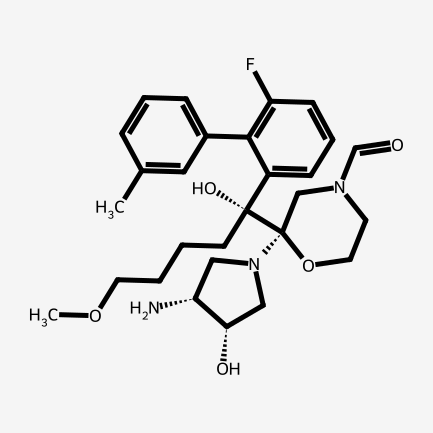 COCCCC[C@@](O)(c1cccc(F)c1-c1cccc(C)c1)[C@@]1(N2C[C@@H](N)[C@@H](O)C2)CN(C=O)CCO1